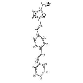 BrCc1nnc(C=Cc2ccc(C=Cc3ccccc3)cc2)o1